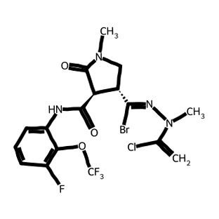 C=C(Cl)N(C)/N=C(\Br)[C@H]1CN(C)C(=O)[C@@H]1C(=O)Nc1cccc(F)c1OC(F)(F)F